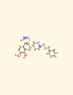 COc1ccc2c(c1OC)C[C@@H](C1CCN(CCCc3ccccc3)CC1)O[C@H]2CN